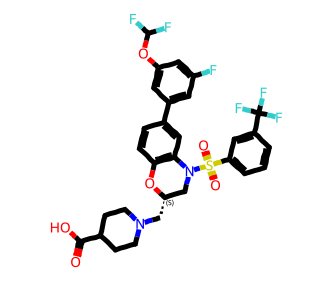 O=C(O)C1CCN(C[C@H]2CN(S(=O)(=O)c3cccc(C(F)(F)F)c3)c3cc(-c4cc(F)cc(OC(F)F)c4)ccc3O2)CC1